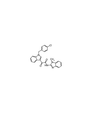 Cn1c(NC(=O)C(=O)c2cn(Cc3ccc(Cl)cc3)c3ccccc23)nc2ccccc21